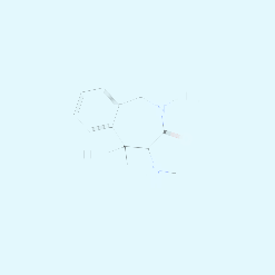 CNC1C(=O)N(C)Cc2ccccc2C1(C)C